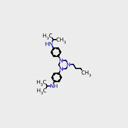 CCCCN1CN(c2ccc(NC(C)C)cc2)CN(c2ccc(NC(C)C)cc2)C1